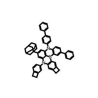 c1ccc(-c2ccc(N3c4ccc(-c5ccccc5)cc4B4c5cc6c(cc5N(c5ccc7c(c5)CC7)c5cc(C78CC9CC(CC(C9)C7)C8)cc3c54)CC6)cc2)cc1